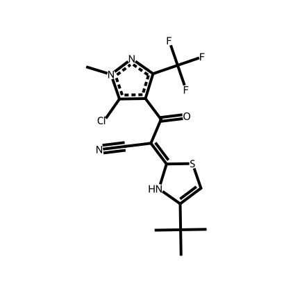 Cn1nc(C(F)(F)F)c(C(=O)C(C#N)=C2NC(C(C)(C)C)=CS2)c1Cl